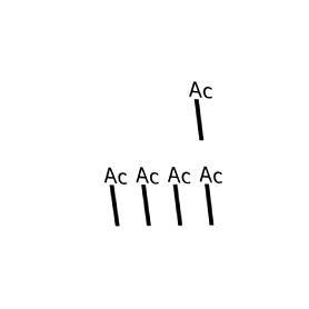 CC(C)=O.CC(C)=O.CC(C)=O.CC(C)=O.CC(C)=O